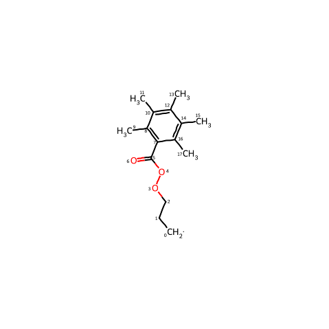 [CH2]CCOOC(=O)c1c(C)c(C)c(C)c(C)c1C